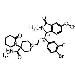 CNC(=O)C1(N2CCCCC2=O)CCN(CC[C@@H](c2ccc(Br)c(Cl)c2)[C@@H]2c3ccc(OC)cc3C(=O)N2C)CC1